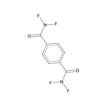 O=C(c1ccc(C(=O)N(F)F)cc1)N(F)F